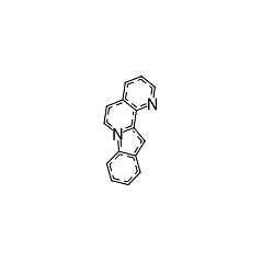 c1cnc2c(c1)ccn1c3ccccc3cc21